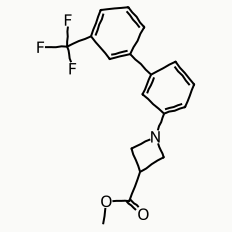 COC(=O)C1CN(c2cccc(-c3cccc(C(F)(F)F)c3)c2)C1